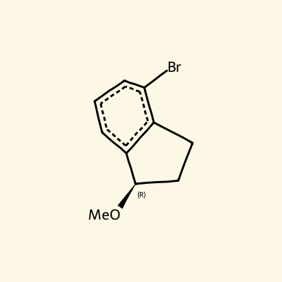 CO[C@@H]1CCc2c(Br)cccc21